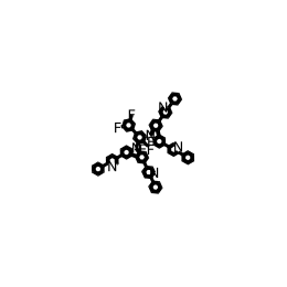 Fc1cc(F)cc(-c2cc(-n3c4ccc(-c5ccc(-c6ccccc6)nc5)cc4c4cc(-c5ccc(-c6ccccc6)nc5)ccc43)c(C(F)(F)F)c(-n3c4ccc(-c5ccc(-c6ccccc6)nc5)cc4c4cc(-c5ccc(-c6ccccc6)nc5)ccc43)c2)c1